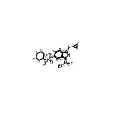 CCN(CC)c1nn(CC2CC2)c2ccc(S(=O)(=O)N(C)C3CCCCC3)cc12